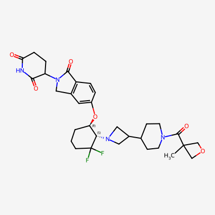 CC1(C(=O)N2CCC(C3CN([C@H]4[C@H](Oc5ccc6c(c5)CN(C5CCC(=O)NC5=O)C6=O)CCCC4(F)F)C3)CC2)COC1